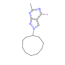 Cc1nc(I)c2cn(C3CCCCCCCCC3)nc2n1